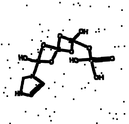 O=P(O)(O)O[Si]1(O)O[Si]2(O1)O[Si](O)(N1C=CNC1)O2